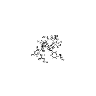 CC(=O)O[C@H]1C(=O)[C@@]2(C)[C@H]([C@H](OC(=O)c3cccc(N=[N+]=[N-])c3)[C@]3(O)C[C@H](OC(=O)[C@H](O)[C@H](C=C(F)F)NC(=O)OC(C)(C)C)C(C)=C1C3(C)C)[C@]1(OC(C)=O)CO[C@@H]1C[C@@H]2O